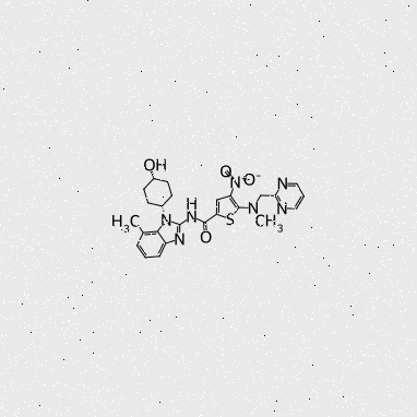 Cc1cccc2nc(NC(=O)c3cc([N+](=O)[O-])c(N(C)Cc4ncccn4)s3)n([C@H]3CC[C@H](O)CC3)c12